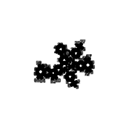 CC(C)(C)c1ccc(N2B3c4sc5cc6c(cc5c4N(c4ccc(C(C)(C)C)cc4)c4c3c(cc3c4oc4ccccc43)-c3cc4c(cc32)C(C)(C)c2cc3c(cc2-4)C(C)(C)CCC3(C)C)C(C)(C)CCC6(C)C)cc1